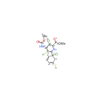 COC(=O)c1nc(C2(Cl)C=CC=C(F)C2)c(F)c(NC(=O)OC(C)(C)C)c1Cl